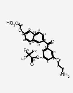 NCCOc1cccc(C(=O)c2ccc3cc(OCC(=O)O)ccc3c2)c1.O=C(O)C(F)(F)F